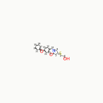 O=C1C[C@@H](SCCO)CN1Cc1ccc(Oc2ccccc2)cc1